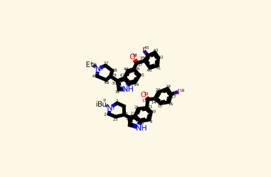 CCC(C)N1CCC(c2c[nH]c3ccc(C(=O)c4ccc(I)cc4)cc23)CC1.CCN1CCC(c2c[nH]c3ccc(C(=O)c4ccccc4I)cc23)CC1